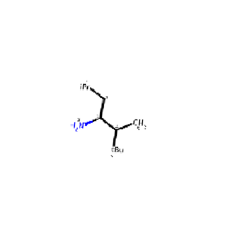 CC(C)C[C@H](N)C(C)C(C)(C)C